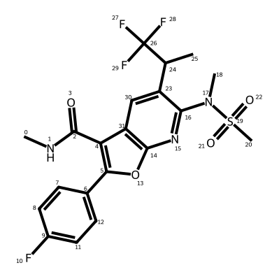 CNC(=O)c1c(-c2ccc(F)cc2)oc2nc(N(C)S(C)(=O)=O)c(C(C)C(F)(F)F)cc12